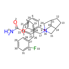 NC(=O)Oc1cccc(CC2C3CCC2CN(Cc2ccccc2)C3)c1Cc1ccccc1F